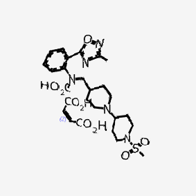 Cc1noc(-c2ccccc2N(CC2CCN(C3CCN(S(C)(=O)=O)CC3)CC2)C(=O)O)n1.O=C(O)/C=C\C(=O)O